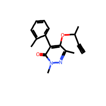 C#CC(C)Oc1c(C)nn(C)c(=O)c1-c1ccccc1C